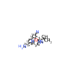 CC(C)c1cc(Oc2cc(C#N)ccc2-c2ccc(CCN)cn2)n(C)n1